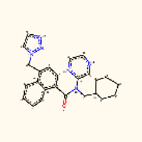 O=C(c1ccc(Cn2ccnn2)c2ccccc12)N(CC1CCCCC1)c1cnccn1